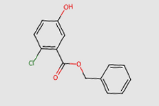 O=C(OCc1ccccc1)c1cc(O)ccc1Cl